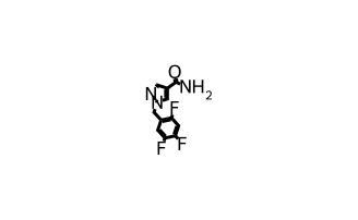 NC(=O)c1cnn(Cc2cc(F)c(F)cc2F)c1